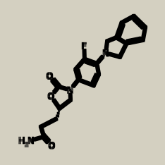 NC(=O)CC[C@H]1CN(c2ccc(N3Cc4ccccc4C3)c(F)c2)C(=O)O1